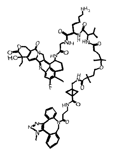 CCC1(O)C(=O)OCc2c1cc1n(c2=O)Cc2c-1nc1cc(F)c(C)c3c1c2C(NC(=O)CNC(=O)C(CCCCN)NC(=O)C(NC(=O)CCC(C)(C)OCCC(C)(C)C(=O)NCC12CC1(C(=O)NCCC(=O)N1Cc4ccccc4-c4c(nnn4C)-c4ccccc41)C2)C(C)C)CC3